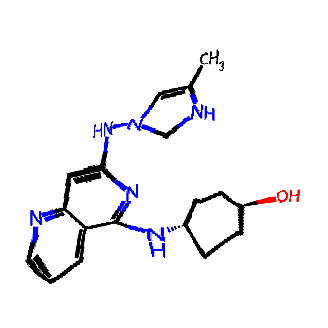 CC1=CN(Nc2cc3ncccc3c(N[C@H]3CC[C@H](O)CC3)n2)CN1